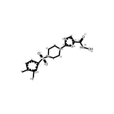 Cc1ccc(S(=O)(=O)N2CCN(c3ncc(C(=O)NO)s3)CC2)cc1F